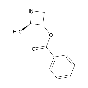 C[C@H]1NCC1OC(=O)c1ccccc1